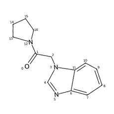 O=C(Cn1cnc2ccccc21)N1CCCC1